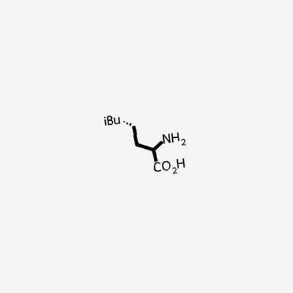 CC[C@@H](C)CCC(N)C(=O)O